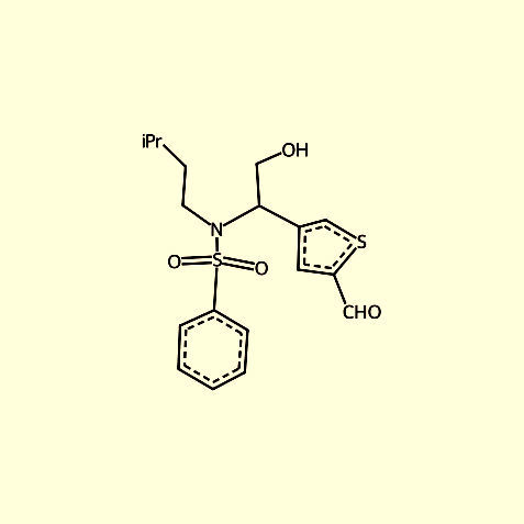 CC(C)CCN(C(CO)c1csc(C=O)c1)S(=O)(=O)c1ccccc1